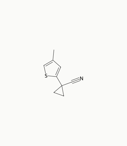 Cc1csc(C2(C#N)CC2)c1